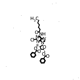 CCCCCCC(=O)Nc1nc(Cl)nc2c1ncn2[C@@H]1O[C@H](COC(=O)c2ccccc2)[C@@H](OC(=O)c2ccccc2)[C@@H]1F